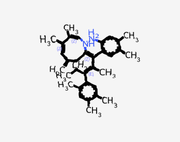 C=C1/C=C(C)\C(C)=C/N/C(=C(/C(C)=C(\C(=C)C)c2cc(C)c(C)cc2C)c2cc(C)c(C)cc2N)C1